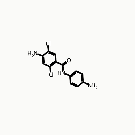 Nc1ccc(NC(=O)c2cc(Cl)c(N)cc2Cl)cc1